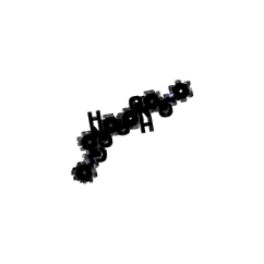 O=C(/C=C/c1ccccc1)c1cccc(NC(=O)c2ccc(Oc3cccc(C(=O)Nc4cccc(C(=O)/C=C/c5ccccc5)c4)c3)cc2)c1